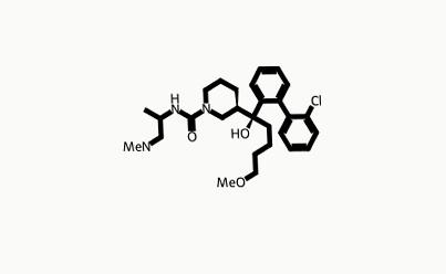 CNCC(C)NC(=O)N1CCC[C@@H]([C@@](O)(CCCCOC)c2ccccc2-c2ccccc2Cl)C1